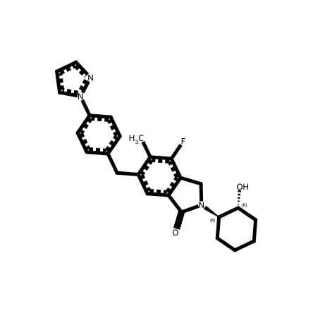 Cc1c(Cc2ccc(-n3cccn3)cc2)cc2c(c1F)CN([C@@H]1CCCC[C@H]1O)C2=O